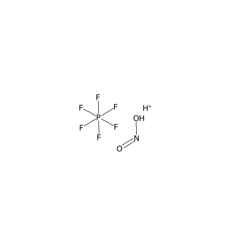 F[P-](F)(F)(F)(F)F.O=NO.[H+]